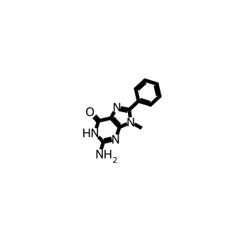 Cn1c(-c2ccccc2)nc2c(=O)[nH]c(N)nc21